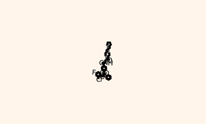 O=C(NCC(=O)N1CCN(CCN2CCCC2)CC1)c1ccc(S(=O)(=O)N(Oc2ccc(F)cc2Cl)c2ccccc2)cc1